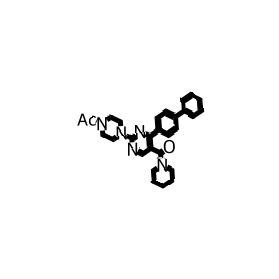 CC(=O)N1CCN(c2ncc(C(=O)N3CCCCC3)c(-c3ccc(-c4ccccc4)cc3)n2)CC1